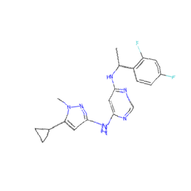 CC(Nc1cc(Nc2cc(C3CC3)n(C)n2)ncn1)c1ccc(F)cc1F